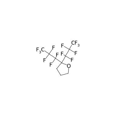 FC(F)(F)C(F)(F)C(F)(F)C1(C(F)(F)C(F)(F)C(F)(F)F)CCCO1